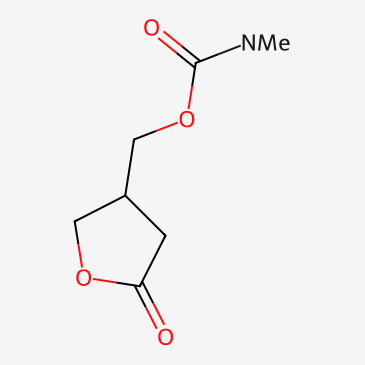 CNC(=O)OCC1COC(=O)C1